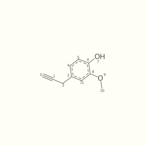 C#CCc1ccc(O)c(OC)c1